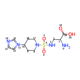 NC(CNS(=O)(=O)N1CCC(n2ccnc2)CC1)C(=O)O